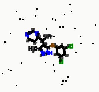 Cc1n[nH]c(Sc2cc(Cl)cc(Cl)c2)c1C(c1ccncn1)C(C)C